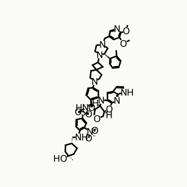 COc1cc(CN2CCN(C3CC4(CCN(c5ccc(C(=O)NS(=O)(=O)c6ccc(NC[C@H]7CC[C@](C)(O)CC7)c([N+](=O)[O-])c6)c(N6c7cc8cc[nH]c8nc7O[C@H]7COCC[C@@H]76)c5)CC4)C3)[C@H](c3ccccc3C)C2)cnc1OC